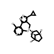 OC1[C@@H]2CC[C@H]1C[C@H](OCc1c(-c3c(Cl)cncc3Cl)noc1C1CC1)C2